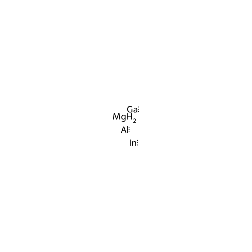 [Al].[Ga].[In].[MgH2]